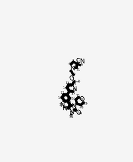 C[C@@H](OCCN1CC[C@@](C)(C#N)C1)c1ccc(-c2ccc3nnc4c(c3c2)n(C2CCOCC2)c(=O)n4C)cn1